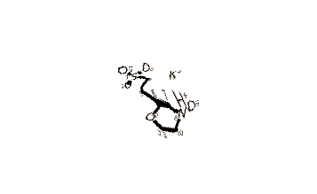 O=S(=O)([O-])CCC1C[NH+]([O-])CCO1.[K+]